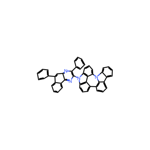 c1ccc(-c2nc3cc(-c4ccccc4)c4ccccc4c3nc2-n2c3cccc4c5cccc6c7ccccc7n(c7cccc2c7c43)c56)cc1